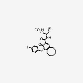 CC(C)CC(CC(=O)O)NC(=O)c1cc2c(n(Cc3ccc(F)cc3)c1=O)CCCCCC2